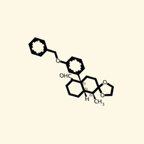 C[C@H]1[C@@H]2CCCC(C=O)[C@]2(c2cccc(OCc3ccccc3)c2)CCC12OCCO2